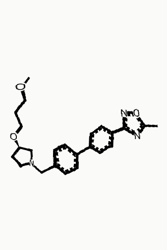 COCCCO[C@@H]1CCN(Cc2ccc(-c3ccc(-c4noc(C)n4)cc3)cc2)C1